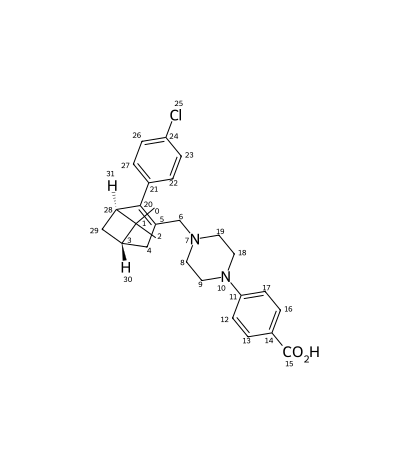 CC1(C)[C@@H]2CC(CN3CCN(c4ccc(C(=O)O)cc4)CC3)=C(c3ccc(Cl)cc3)[C@@H]1C2